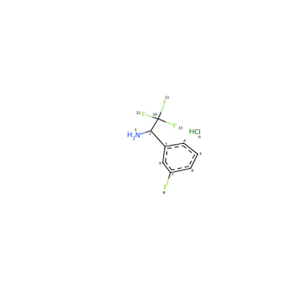 Cl.NC(c1cccc(F)c1)C(F)(F)F